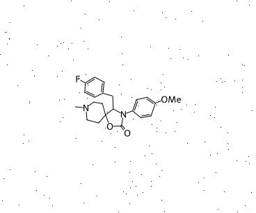 COc1ccc(N2C(=O)OC3(CCN(C)CC3)C2Cc2ccc(F)cc2)cc1